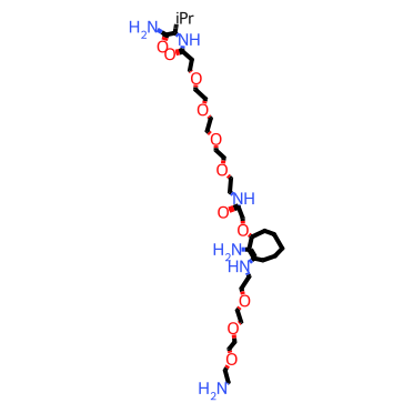 CC(C)C(NC(=O)CCOCCOCCOCCOCCNC(=O)COC1CCCCC/C(NCCOCCOCCOCCN)=C\1N)C(N)=O